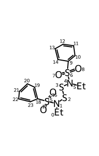 CCN(SSN(CC)S(=O)(=O)c1ccccc1)S(=O)(=O)c1ccccc1